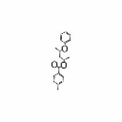 Cc1ccc(C(=O)O[C@H](C)C[C@@H](C)Oc2ccccc2)cc1